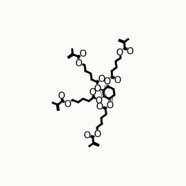 C=C(C)C(=O)OCCCCC(=O)O[C@@H]1[C@@H](OC(=O)CCCCOC(=O)C(=C)C)[C@H](OC(=O)CCCCOC(=O)C(=C)C)CC[C@@H]1OC(=O)CCCCOC(=O)C(=C)C